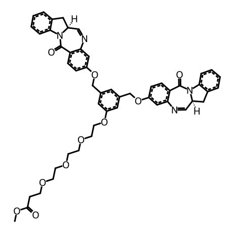 COC(=O)CCOCCOCCOCCOc1cc(COc2ccc3c(c2)N=C[C@@H]2Cc4ccccc4N2C3=O)cc(COc2ccc3c(c2)N=C[C@@H]2Cc4ccccc4N2C3=O)c1